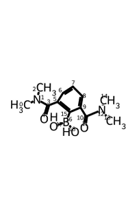 CN(C)C(=O)c1cccc(C(=O)N(C)C)c1B(O)O